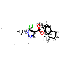 CCCCC1C2CCC1(OC(=O)c1cnn(C)c1Cl)[C@]1(C)CCC=CC21